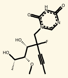 CC#CC(F)(Cn1cnc(=O)[nH]c1=O)[C@@H](O)[C@H](OC)[C@H](C)O